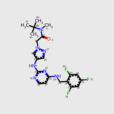 CN(C(=O)Cn1cc(Nc2nccc(NCc3c(F)cc(F)cc3F)n2)cn1)C(C)(C)C